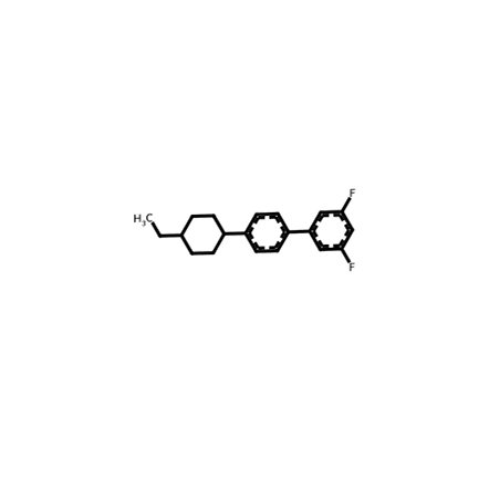 CCC1CCC(c2ccc(-c3cc(F)cc(F)c3)cc2)CC1